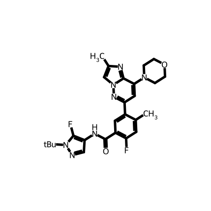 Cc1cn2nc(-c3cc(C(=O)Nc4cnn(C(C)(C)C)c4F)c(F)cc3C)cc(N3CCOCC3)c2n1